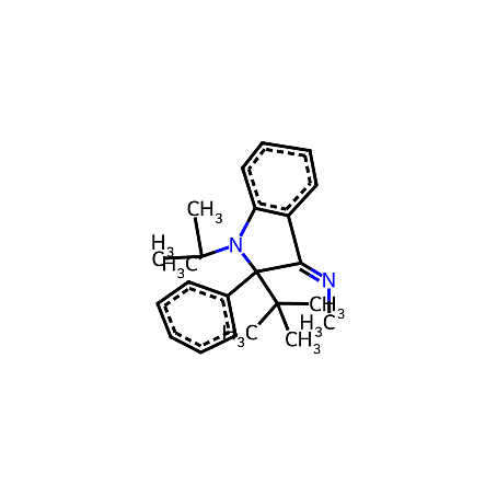 C/N=C1/c2ccccc2N(C(C)(C)C)C1(c1ccccc1)C(C)(C)C